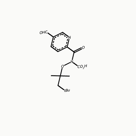 CC(C)(C)CC(C)(C)ON(C(=O)O)C(=O)c1ccc(C=O)cn1